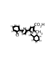 Cc1c(C(=O)O)cc(-c2csc(-c3ccccc3Cl)n2)n1CC1CCCCC1